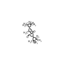 CN1CN(C2CC(C)(C)NC(C)(C)C2)CN2C(=O)N3CN(C4CC(C)(C)NC(C)(C)C4)CN(C=O)C3C12